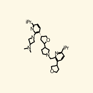 CC(C)c1ccc(C2CCOC2)c(CN2CCC(C3C[C@H](c4ccc(C(C)C)nc4N4CC(N(C)C)C4)CO3)C2)n1